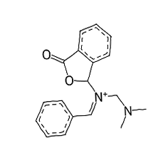 CN(C)C[N+](=Cc1ccccc1)C1OC(=O)c2ccccc21